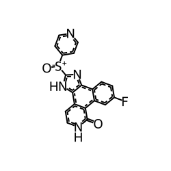 O=c1[nH]ccc2c3[nH]c([S+]([O-])c4ccncc4)nc3c3ccc(F)cc3c12